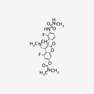 CNS(=O)(=O)Nc1cccc(Cc2c(CN(C)C)c3c(F)cc(OC(=O)N(C)C)cc3oc2=O)c1F